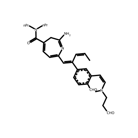 C/C=C\C(=C/C1=CC=C(C(=O)N(CCC)CCC)CC(N)=N1)c1ccc(C=O)c(/C=C\N(C)CCC=O)c1